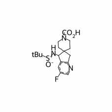 CC(C)(C)[S+]([O-])NC1c2cc(F)cnc2CC12CCN(C(=O)O)CC2